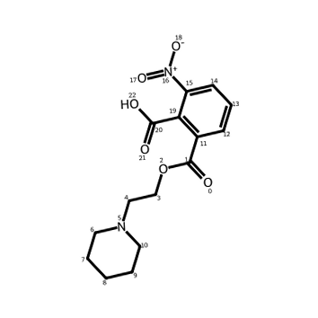 O=C(OCCN1CCCCC1)c1cccc([N+](=O)[O-])c1C(=O)O